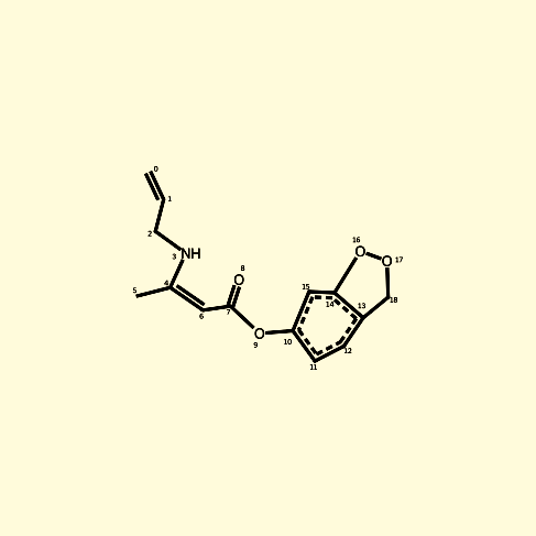 C=CCN/C(C)=C\C(=O)Oc1ccc2c(c1)OOC2